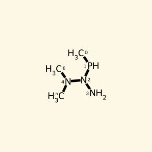 CPN(N)N(C)C